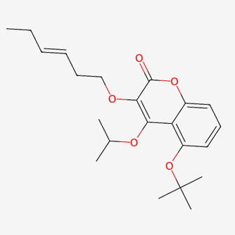 CCC=CCCOc1c(OC(C)C)c2c(OC(C)(C)C)cccc2oc1=O